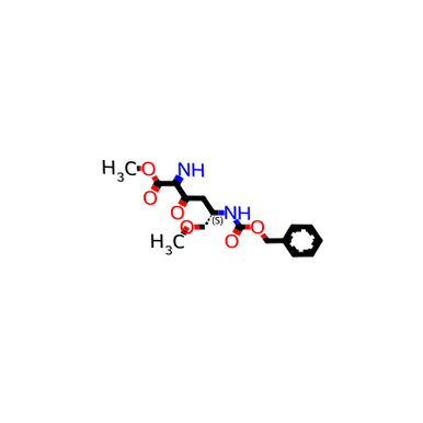 COC[C@H](CC(=O)C(=N)C(=O)OC)NC(=O)OCc1ccccc1